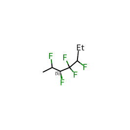 [CH2]CC(F)C(F)(F)[C@@H](F)C(C)F